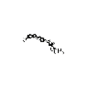 CCOC(=O)CCCNc1ccc2oc(-c3ccc4ccc(Cl)cc4n3)cc2c1